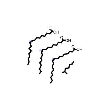 CCCCCC(C)C.CCCCCCCC/C=C\CCCCCCCC(=O)O.CCCCCCCC/C=C\CCCCCCCC(=O)O.CCCCCCCC/C=C\CCCCCCCC(=O)O